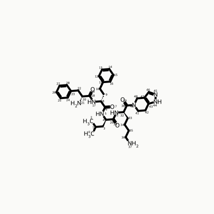 CC(C)C[C@@H](NC(=O)[C@@H](CCc1ccccc1)NC(=O)[C@H](N)Cc1ccccc1)C(=O)N[C@H](CCCCN)C(=O)N1CCc2[nH]ncc2C1